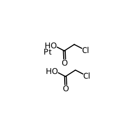 O=C(O)CCl.O=C(O)CCl.[Pt]